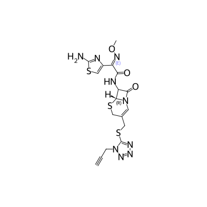 C#CCn1nnnc1SCC1=CN2C(=O)C(NC(=O)/C(=N/OC)c3csc(N)n3)[C@H]2SC1